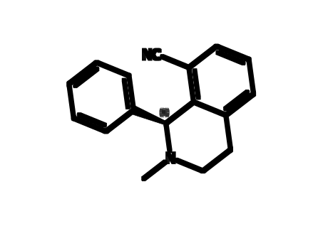 CN1CCc2cccc(C#N)c2[C@@H]1c1ccccc1